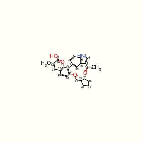 CC(=O)c1c[nH]c2ccc(-c3cc(CC(C)C(=O)O)ccc3OCC3CCCC3)cc12